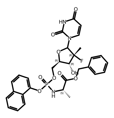 C[C@H](NP(=O)(OC[C@H]1OC(n2ccc(=O)[nH]c2=O)[C@](C)(F)[C@@H]1O)Oc1cccc2ccccc12)C(=O)OCc1ccccc1